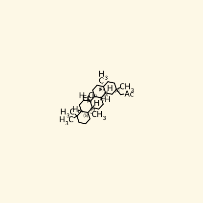 CC[C@@]12CC[C@H]3C(C)(C)CCC[C@]3(C)[C@H]1CC[C@@H]1[C@@H]3C[C@@](C)(CC(C)=O)CC[C@]3(C)CC[C@]12C